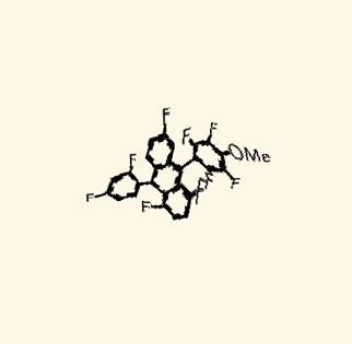 COc1c(F)c(F)c(-c2c3cc(F)ccc3c(-c3ccc(F)cc3F)c3c(F)ccc(F)c23)c(F)c1F